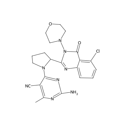 Cc1nc(N)nc(N2CCCC2c2nc3cccc(Cl)c3c(=O)n2N2CCOCC2)c1C#N